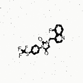 O=C1CN(Cc2ccnc3cccc(F)c23)C(=O)N1c1ccc(SC(F)(F)F)cc1